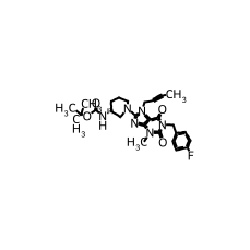 CC#CCn1c(N2CCC[C@@H](NC(=O)OC(C)(C)C)C2)nc2c1c(=O)n(Cc1ccc(F)cc1)c(=O)n2C